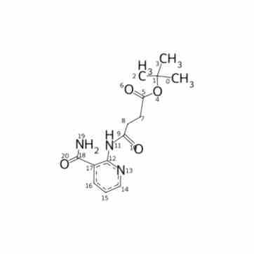 CC(C)(C)OC(=O)CCC(=O)Nc1ncccc1C(N)=O